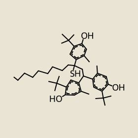 CCCCCCCCCC(S)(CC(c1cc(C(C)(C)C)c(O)cc1C)c1cc(C(C)(C)C)c(O)cc1C)c1cc(C(C)(C)C)c(O)cc1C